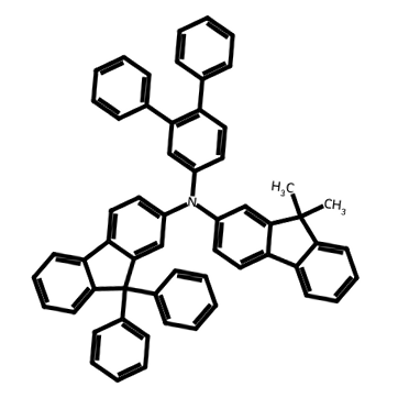 CC1(C)c2ccccc2-c2ccc(N(c3ccc(-c4ccccc4)c(-c4ccccc4)c3)c3ccc4c(c3)C(c3ccccc3)(c3ccccc3)c3ccccc3-4)cc21